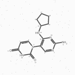 Nc1ncc(-n2ccc(=O)[nH]c2=O)c(NC2CCCC2)n1